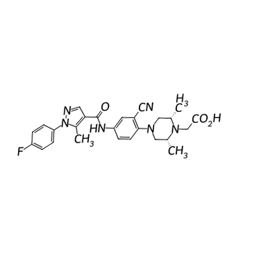 Cc1c(C(=O)Nc2ccc(N3C[C@@H](C)N(CC(=O)O)[C@@H](C)C3)c(C#N)c2)cnn1-c1ccc(F)cc1